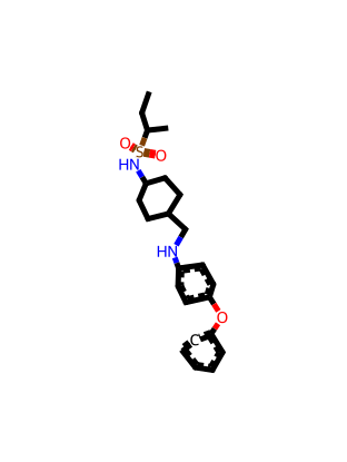 CCC(C)S(=O)(=O)NC1CCC(CNc2ccc(Oc3ccccc3)cc2)CC1